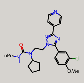 CCCNC(=O)N(CCn1nc(-c2ccncc2)nc1-c1ccc(OC)c(Cl)c1)C1CCCC1